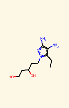 CCc1c(N)c(N)nn1CCC(O)CCO